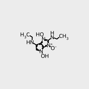 CCNc1cn(O)c2c1n(O)c(NCC)[n+]2[O-]